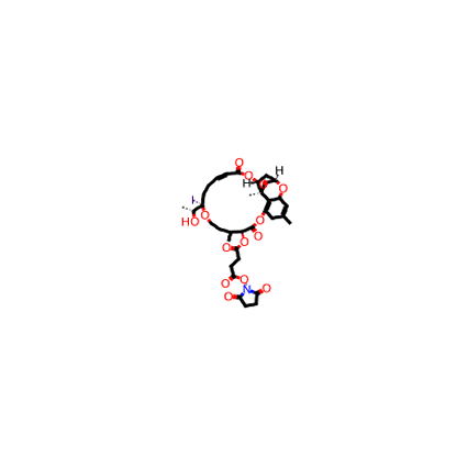 CC1=CC2O[C@@H]3C[C@H]4OC(=O)/C=C\CC[C@](I)([C@@H](C)O)OCCC(C)[C@H](OC(=O)CCC(=O)ON5C(=O)CCC5=O)C(=O)OC(=C2[C@]4(C)C32CO2)C1